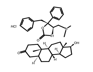 CCC(=O)O[C@](Cc1ccccc1)(c1ccccc1)[C@H](C)CN(C)C.C[C@]12CCC(=O)C[C@@H]1CC[C@@H]1[C@@H]2CC[C@]2(C)[C@@H](O)CC[C@@H]12.Cl